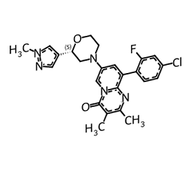 Cc1nc2c(-c3ccc(Cl)cc3F)cc(N3CCO[C@@H](c4cnn(C)c4)C3)cn2c(=O)c1C